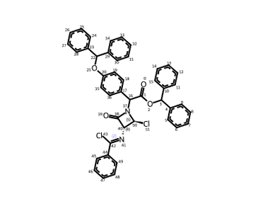 O=C(OC(c1ccccc1)c1ccccc1)C(c1ccc(OC(c2ccccc2)c2ccccc2)cc1)N1C(=O)[C@@H](/N=C(\Cl)c2ccccc2)[C@@H]1Cl